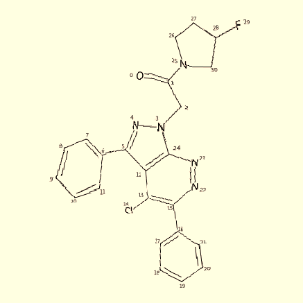 O=C(Cn1nc(-c2ccccc2)c2c(Cl)c(-c3ccccc3)nnc21)N1CCC(F)C1